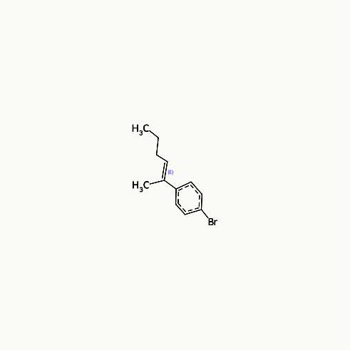 CCC/C=C(\C)c1ccc(Br)cc1